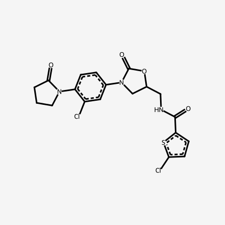 O=C(NCC1CN(c2ccc(N3CCCC3=O)c(Cl)c2)C(=O)O1)c1ccc(Cl)s1